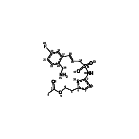 CC(=O)OCCc1cnc(NS(=O)(=O)CC=Cc2cc(F)ccc2CN)s1